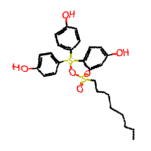 CCCCCCCCS(=O)(=O)OS(c1ccc(O)cc1)(c1ccc(O)cc1)c1ccc(O)cc1